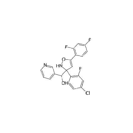 OC(c1cccnc1)C1(c2ccc(Cl)cc2F)C=C(c2ccc(F)cc2F)ON1